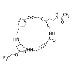 O=C1NCCN(CCNC(=O)C(F)(F)F)CCCOc2ccc(cc2)CNc2nc(nc(OCC(F)(F)F)n2)Nc2ccc1cc2